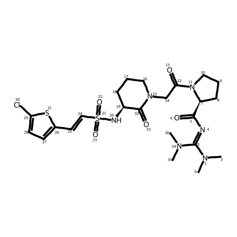 CN(C)C(=NC(=O)[C@@H]1CCCN1C(=O)CN1CCC[C@H](NS(=O)(=O)/C=C/c2ccc(Cl)s2)C1=O)N(C)C